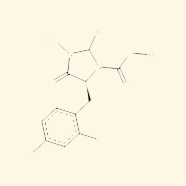 CN1C(=O)[C@H](Cc2ccc(Br)cc2I)N(C(=O)OC(C)(C)C)C1C(C)(C)C